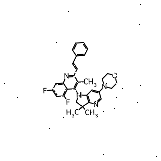 Cc1c(/C=C/c2ccccc2)nc2cc(F)cc(F)c2c1N1CC(C)(C)c2ncc(N3CCOCC3)cc21